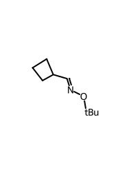 CC(C)(C)O/N=[C]/C1CCC1